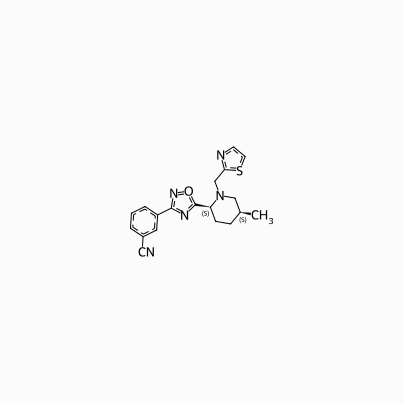 C[C@H]1CC[C@@H](c2nc(-c3cccc(C#N)c3)no2)N(Cc2nccs2)C1